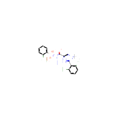 CCn1cc(C(=O)NS(=O)(=O)c2ccccc2Cl)nc1-c1c(F)cccc1F